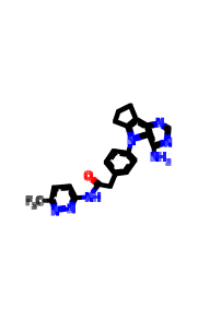 Nc1ncnc2c3c(n(-c4ccc(CC(=O)Nc5ccc(C(F)(F)F)nn5)cc4)c12)CCC3